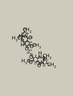 C=C1C[C@H]2C(C)Nc3cc(OCCCOc4cc5c(cc4OC)C(=O)N4CC(=C)C[C@H]4C(C)N5)c(OC)cc3C(=O)N2C1